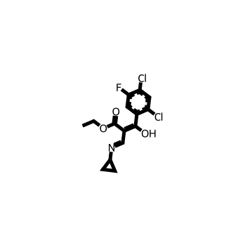 CCOC(=O)C(C=NC1CC1)=C(O)c1cc(F)c(Cl)cc1Cl